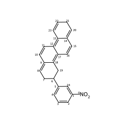 O=[N+]([O-])c1cccc(C2CC=c3ccc4c5c(ccc4c3C2)=CCC=C5)c1